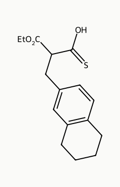 CCOC(=O)C(Cc1ccc2c(c1)CCCC2)C(O)=S